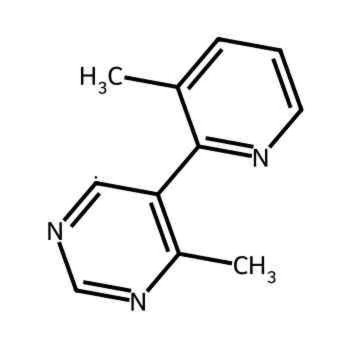 Cc1cccnc1-c1[c]ncnc1C